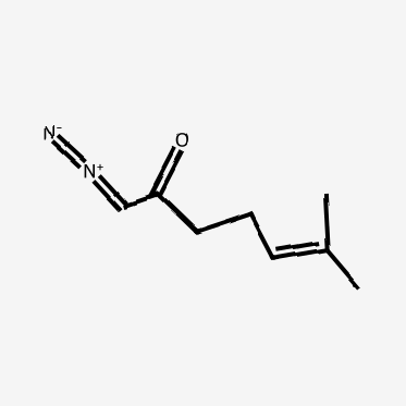 CC(C)=CCCC(=O)C=[N+]=[N-]